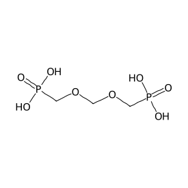 O=P(O)(O)COCOCP(=O)(O)O